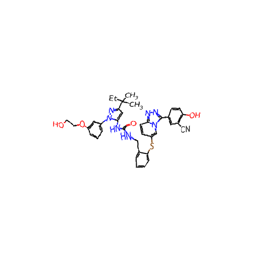 CCC(C)(C)c1cc(NC(=O)NCc2ccccc2Sc2ccc3nnc(-c4ccc(O)c(C#N)c4)n3c2)n(-c2cccc(OCCO)c2)n1